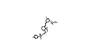 Cc1ccc(S(=O)(=O)OC[C@@H](C)[C@H]2CC[C@H]3/C(=C/C=C4/C[C@@H](C)C[C@H](O[Si](C)(C)C(C)(C)C)C4)CCC[C@]23C)cc1